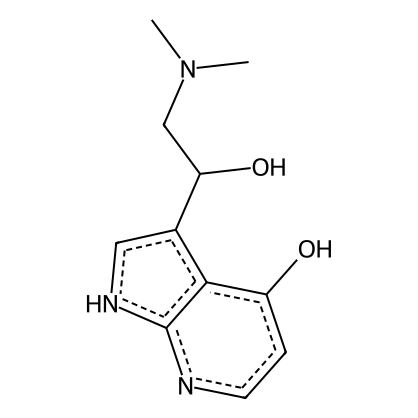 CN(C)CC(O)c1c[nH]c2nccc(O)c12